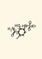 CCS(=O)(=O)Nc1ccc(C)c(C(N)=O)c1O